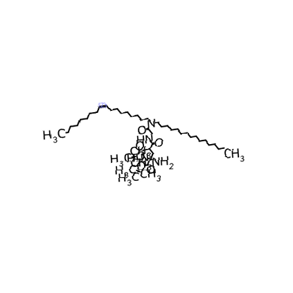 CCCCCCCC/C=C\CCCCCCCCN(CCCCCCCCCCCCCCCC)C(=O)CNC(=O)C(CC(N)(N)C(=O)OC(C)(C)C)C(=O)OC(C)(C)C